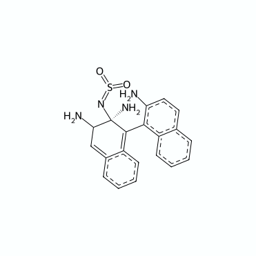 Nc1ccc2ccccc2c1C1=c2ccccc2=CC(N)[C@@]1(N)N=S(=O)=O